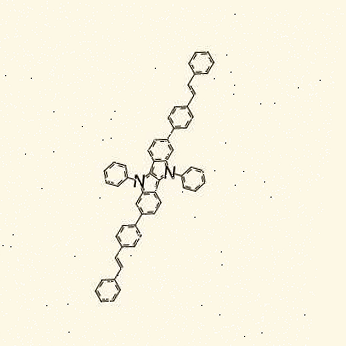 C(=C\c1ccc(-c2ccc3c(c2)n(-c2ccccc2)c2c4ccc(-c5ccc(/C=C/c6ccccc6)cc5)cc4n(-c4ccccc4)c32)cc1)/c1ccccc1